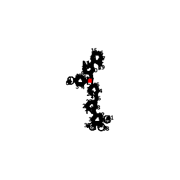 COc1ccc(N(Cc2ccnc(-c3ccccc3F)c2)C2CCN(Cc3ccnc(-c4cc(OC)c(OC)c(OC)c4)c3)CC2)cc1